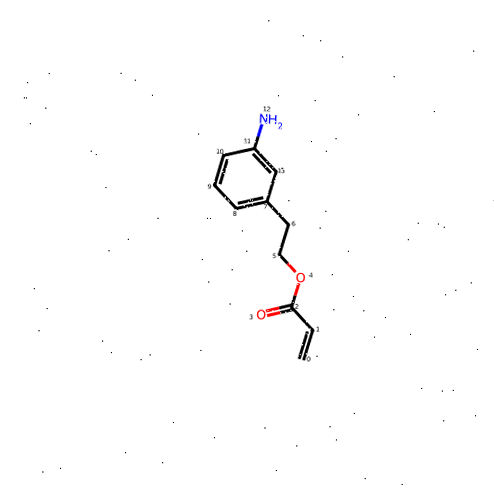 C=CC(=O)OCCc1cccc(N)c1